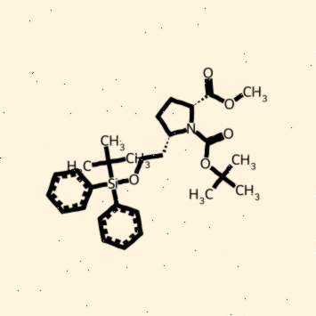 COC(=O)[C@H]1CC[C@@H](CCO[Si](c2ccccc2)(c2ccccc2)C(C)(C)C)N1C(=O)OC(C)(C)C